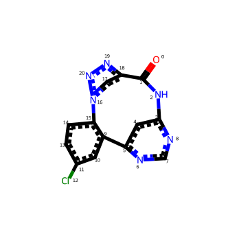 O=C1Nc2cc(ncn2)-c2cc(Cl)ccc2-n2cc1nn2